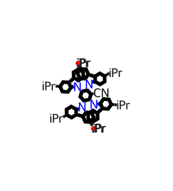 CC(C)c1ccc2c(c1)c1cc(C(C)C)ccc1n2-c1cc(-n2c3ccc(C(C)C)cc3c3cc(C(C)C)ccc32)c(-n2c3ccc(C(C)C)cc3c3cc(C(C)C)ccc32)c(C#N)c1-n1c2ccc(C(C)C)cc2c2cc(C(C)C)ccc21